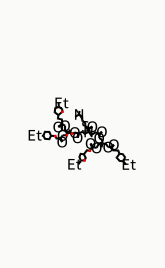 CCC1CCC(CCC(=O)OCC(C)(COC(=O)CCC2CCC(CC)CC2)COC(=O)CCN(CCC(=O)OCC(C)(COC(=O)CCC2CCC(CC)CC2)COC(=O)CCC2CCC(CC)CC2)C(=O)SCCCN(C)C)CC1